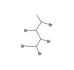 CC(Br)C(Br)C(Br)C(Br)Br